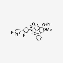 COCC(c1ccccc1)n1c(COC(C)C)nc(=O)c(S(=O)(=O)c2ccc(-c3ccc(F)nc3)c(F)c2)c1O